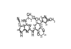 COC[C@@H](C)Nc1nc(Nc2ccc(-c3cnn(C)c3)c3c2OCCO3)nc2[nH]cc(C#N)c12